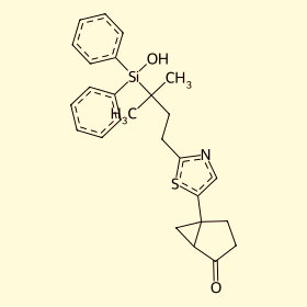 CC(C)(CCc1ncc(C23CCC(=O)C2C3)s1)[Si](O)(c1ccccc1)c1ccccc1